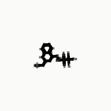 CCC1CC(SNS(=O)(=O)C(F)(F)F)c2ccccc2O1